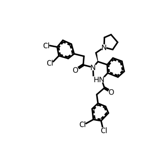 CN(C(=O)Cc1ccc(Cl)c(Cl)c1)[C@@H](CN1CCCC1)c1ccccc1NC(=O)Cc1ccc(Cl)c(Cl)c1